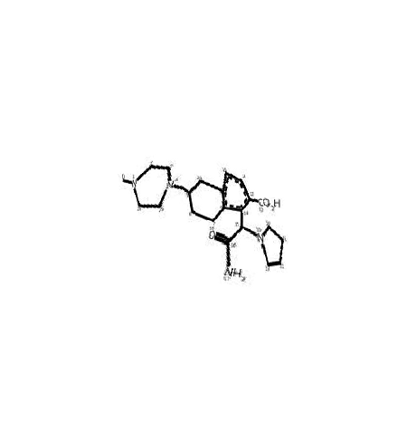 CN1CCN(C2CCc3c(ccc(C(=O)O)c3C(C(N)=O)N3CCCC3)C2)CC1